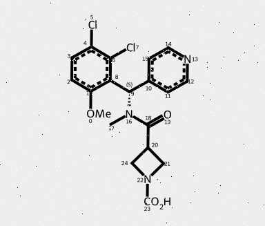 COc1ccc(Cl)c(Cl)c1[C@H](c1ccncc1)N(C)C(=O)C1CN(C(=O)O)C1